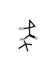 CC(C)(C)NC(=O)C1(O)CC1